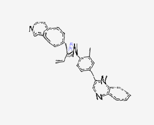 C=C/C(=N\c1ccc(-c2cnc3ccccc3n2)cc1C)c1ccc2ccncc2c1